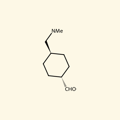 CNC[C@H]1CC[C@H]([C]=O)CC1